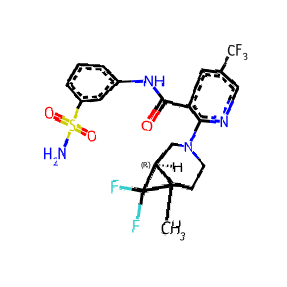 CC12CCN(c3ncc(C(F)(F)F)cc3C(=O)Nc3cccc(S(N)(=O)=O)c3)C[C@@H]1C2(F)F